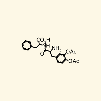 CC(=O)Oc1ccc(C[C@H](N)C(=O)N[C@@H](Cc2ccccc2)C(=O)O)cc1OC(C)=O